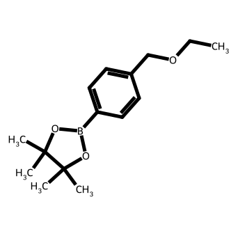 CCOCc1ccc(B2OC(C)(C)C(C)(C)O2)cc1